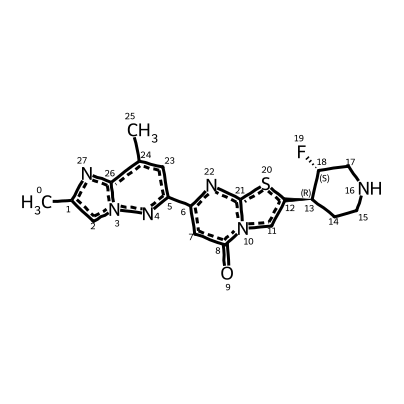 Cc1cn2nc(-c3cc(=O)n4cc([C@@H]5CCNC[C@H]5F)sc4n3)cc(C)c2n1